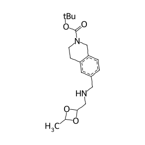 CC1OC(CNCc2ccc3c(c2)CCN(C(=O)OC(C)(C)C)C3)O1